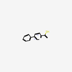 C=C(S)C(=C)/C=C\C(=C/C)c1ccccc1